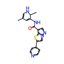 CC1=CNC(C)C(NC(=O)c2cnn3cc(-c4ccncc4)sc23)=C1